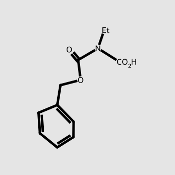 [CH2]CN(C(=O)O)C(=O)OCc1ccccc1